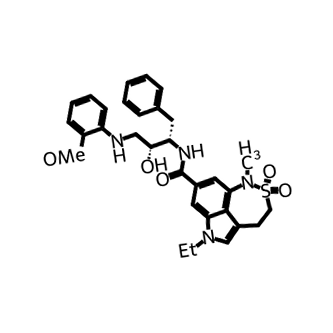 CCn1cc2c3c(cc(C(=O)N[C@@H](Cc4ccccc4)[C@H](O)CNc4ccccc4OC)cc31)N(C)S(=O)(=O)CC2